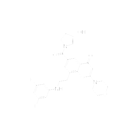 O=C(c1cc(CCNc2cc(F)cc(F)c2)c2oc(N3CCOCC3)cc(=O)c2c1)N1CC[C@H](O)C1